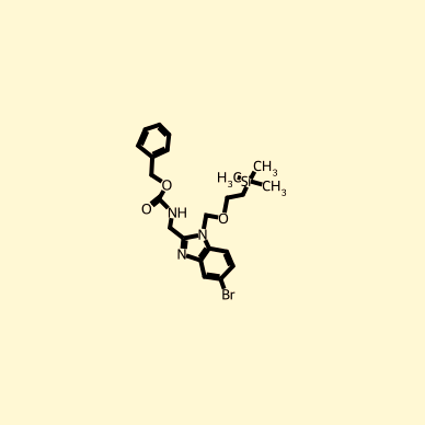 C[Si](C)(C)CCOCn1c(CNC(=O)OCc2ccccc2)nc2cc(Br)ccc21